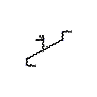 CCCCC/C=C\C/C=C\CCCCCCCCOC(COCCCCCCCC/C=C\CC/C=C\CCCCC)CSSC/C(=C/N)NC